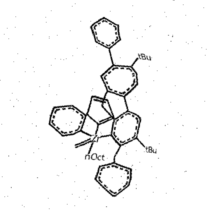 [CH2]=[Zr]([CH2]CCCCCCC)([C]1=CC=CC1)([c]1ccccc1)[c]1c2c(cc(C(C)(C)C)c1-c1ccccc1)-c1cc(C(C)(C)C)c(-c3ccccc3)cc1C2